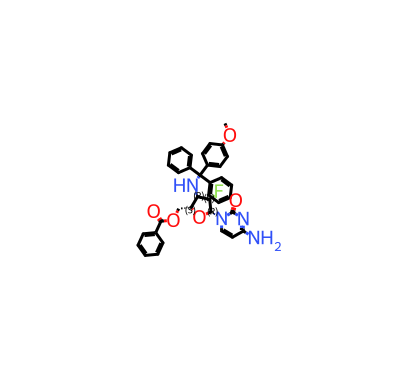 COc1ccc(C(N[C@H]2[C@@H](F)[C@H](n3ccc(N)nc3=O)O[C@@H]2COC(=O)c2ccccc2)(c2ccccc2)c2ccccc2)cc1